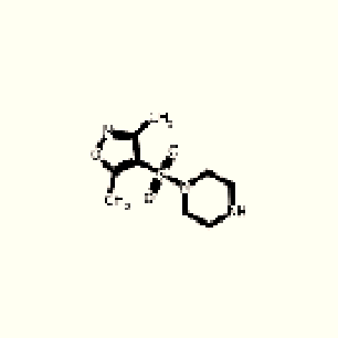 Cc1noc(C)c1S(=O)(=O)N1CCNCC1